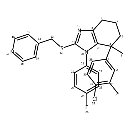 Cc1cc(C2(C)CCCc3nc(SCc4ccncc4)n(-c4ccc(F)cc4)c32)ccc1Cl